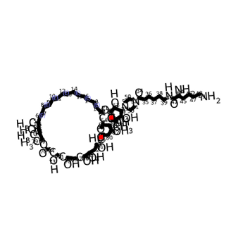 C[C@@H]1[C@H](O)[C@@H](C)/C=C/C=C/C=C/C=C/C=C/C=C/C=C/[C@H](O[C@@H]2O[C@H](C)[C@@H](O)[C@H](N3CCN(C(=O)CCCCCNC(=O)C(N)CCCCN)CC3)[C@@H]2O)CC2O[C@](O)(C[C@@H](O)C[C@@H](O)[C@H](O)CC[C@@H](O)C[C@@H](O)CC(=O)O[C@H]1C)C[C@H](O)[C@H]2C(=O)O